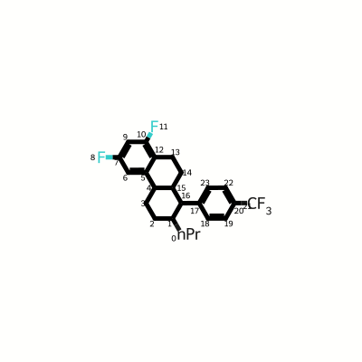 CCCC1CCC2c3cc(F)cc(F)c3CCC2C1c1ccc(C(F)(F)F)cc1